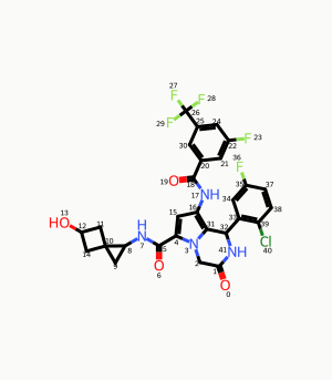 O=C1Cn2c(C(=O)NC3CC34CC(O)C4)cc(NC(=O)c3cc(F)cc(C(F)(F)F)c3)c2C(c2cc(F)ccc2Cl)N1